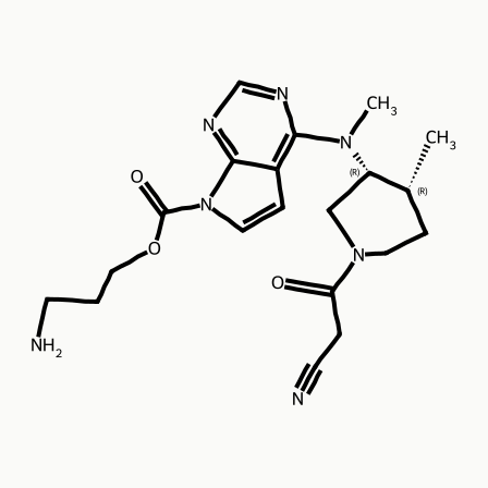 C[C@@H]1CCN(C(=O)CC#N)C[C@@H]1N(C)c1ncnc2c1ccn2C(=O)OCCCN